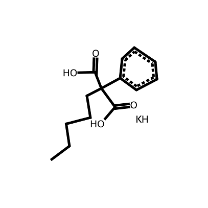 CCCCCC(C(=O)O)(C(=O)O)c1ccccc1.[KH]